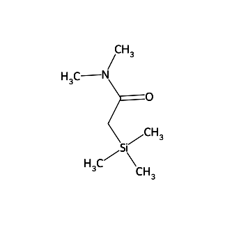 CN(C)C(=O)C[Si](C)(C)C